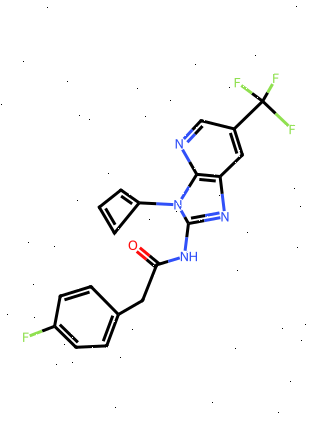 O=C(Cc1ccc(F)cc1)Nc1nc2cc(C(F)(F)F)cnc2n1C1=CC=C1